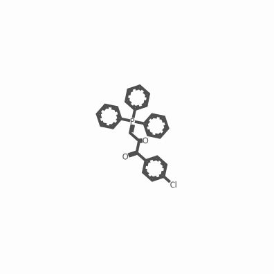 O=C(C=P(c1ccccc1)(c1ccccc1)c1ccccc1)C(=O)c1ccc(Cl)cc1